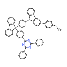 CC(C)Cc1ccc(-c2ccc3c(c2)-c2ccccc2C3c2ccc(C3(c4ccc(-c5nc(-c6ccccc6)nc(-c6ccccc6)n5)cc4)c4ccccc4-c4ccccc43)cc2)cc1